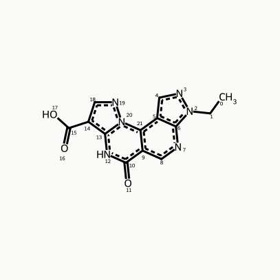 CCn1ncc2c1ncc1c(=O)[nH]c3c(C(=O)O)cnn3c12